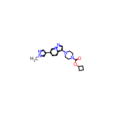 Cn1cc(-c2ccc3c(N4CCN(C(=O)OC5CCC5)CC4)cnn3c2)cn1